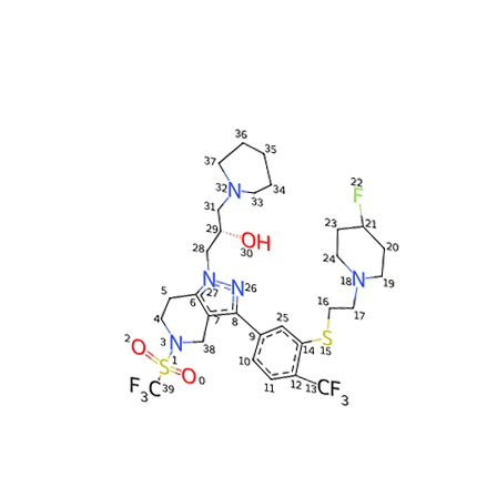 O=S(=O)(N1CCc2c(c(-c3ccc(C(F)(F)F)c(SCCN4CCC(F)CC4)c3)nn2C[C@@H](O)CN2CCCCC2)C1)C(F)(F)F